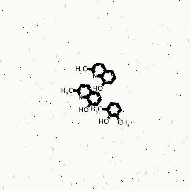 Cc1ccc2cccc(O)c2n1.Cc1ccc2cccc(O)c2n1.Cc1cccc(C)c1O